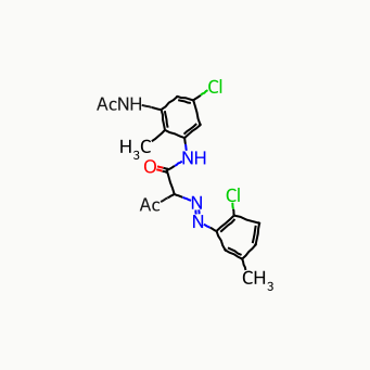 CC(=O)Nc1cc(Cl)cc(NC(=O)C(N=Nc2cc(C)ccc2Cl)C(C)=O)c1C